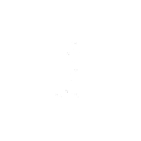 Cc1ccc(OCCCN(C)C)cn1